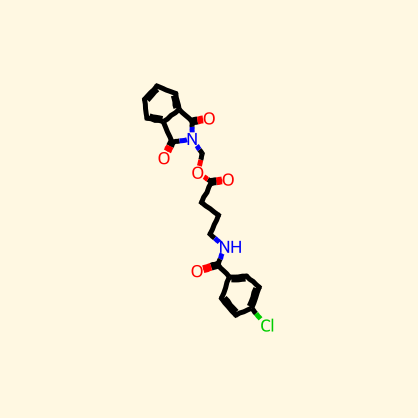 O=C(CCCNC(=O)c1ccc(Cl)cc1)OCN1C(=O)c2ccccc2C1=O